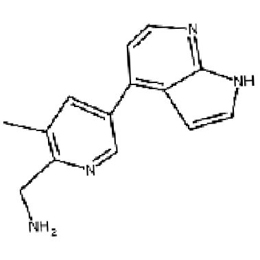 Cc1cc(-c2ccnc3[nH]ccc23)cnc1CN